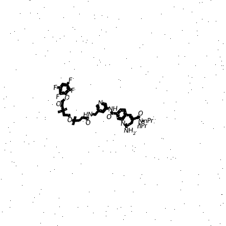 CCCN(CCC)C(=O)C1=Cc2ccc(C(=O)Nc3cncc(CNC(=O)CCC(C)(C)OCCC(C)(C)C4OC4Oc4c(F)c(F)cc(F)c4F)c3)cc2N=C(N)C1